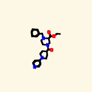 CCOC(=O)C1CN(C(=O)C2CCN(c3ccncc3)CC2)CCN1Cc1ccccc1